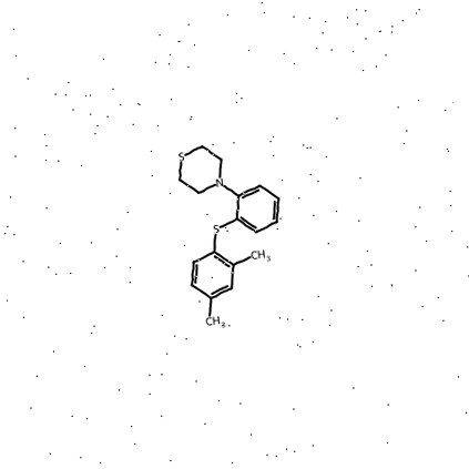 Cc1ccc(Sc2ccccc2N2CCSCC2)c(C)c1